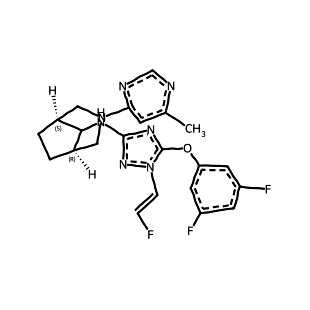 Cc1cc(N2C[C@H]3CC[C@@H](C2)C3Nc2nc(Oc3cc(F)cc(F)c3)n(C=CF)n2)ncn1